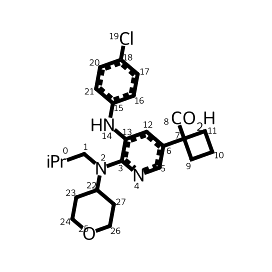 CC(C)CN(c1ncc(C2(C(=O)O)CCC2)cc1Nc1ccc(Cl)cc1)C1CCOCC1